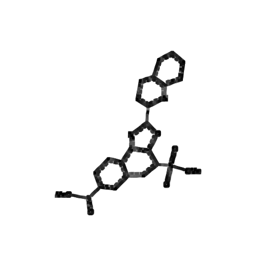 COS(=O)c1ccc2c(c1)cc(S(=O)(=O)OC)c1oc(-c3ccc4ccccc4n3)nc12